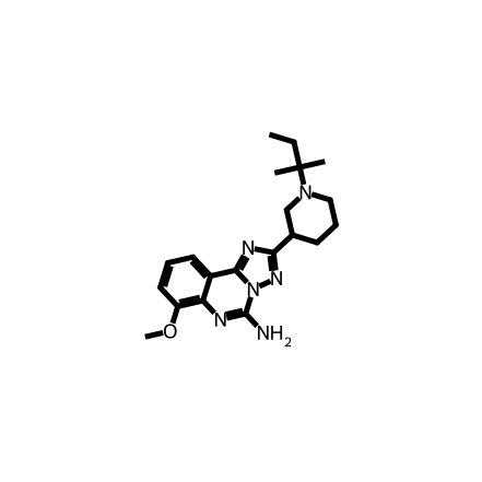 CCC(C)(C)N1CCCC(c2nc3c4cccc(OC)c4nc(N)n3n2)C1